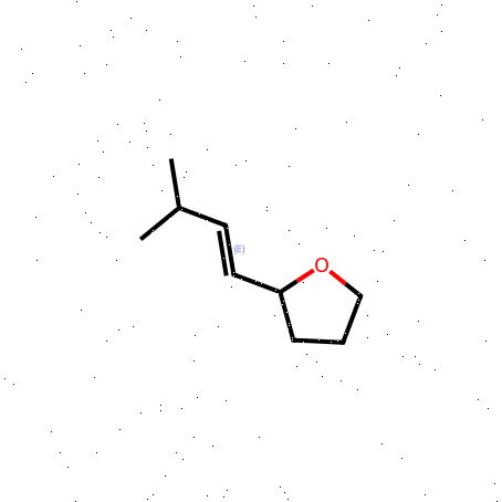 CC(C)/C=C/C1CCCO1